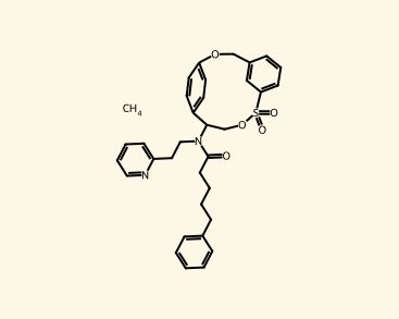 C.O=C(CCCCc1ccccc1)N(CCc1ccccn1)C1COS(=O)(=O)c2cccc(c2)COc2ccc1cc2